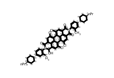 CCC[C@H]1CC[C@H](c2ccc(N3C(=O)c4cc(Cl)c5c6c(Cl)cc7c8c(cc(Cl)c(c9c(Cl)cc(c4c59)C3=O)c86)C(O)N(c3ccc([C@H]4CC[C@H](CCC)CC4)cc3C)C7=O)c(C)c2)CC1